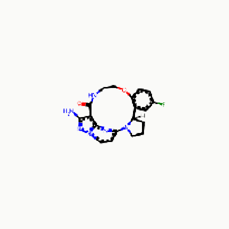 Nc1nn2ccc3nc2c1C(=O)NCCOc1ccc(F)cc1[C@@H]1CCCN31